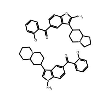 Nc1oc2ccc(C(=O)c3ccccc3Cl)cc2c1C1CCN2CCCC2C1.Nn1cc(C2CCN3CCCCC3C2)c2cc(C(=O)c3ccccc3Cl)ccc21